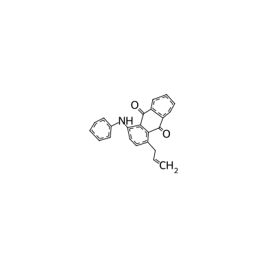 C=CCc1ccc(Nc2ccccc2)c2c1C(=O)c1ccccc1C2=O